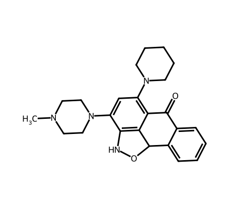 CN1CCN(c2cc(N3CCCCC3)c3c4c2NOC4c2ccccc2C3=O)CC1